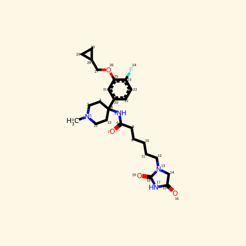 CN1CCC(NC(=O)CCCCCN2CC(=O)NC2=O)(c2ccc(F)c(OCC3CC3)c2)CC1